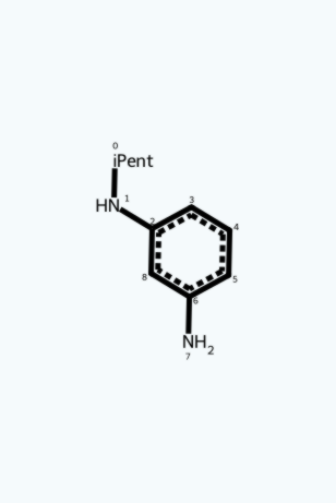 CCCC(C)Nc1cccc(N)c1